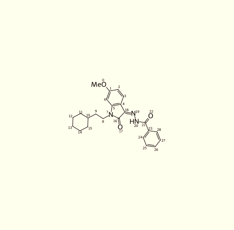 COc1ccc2c(c1)N(CCC1CCCCC1)C(=O)C2=NNC(=O)c1ccccc1